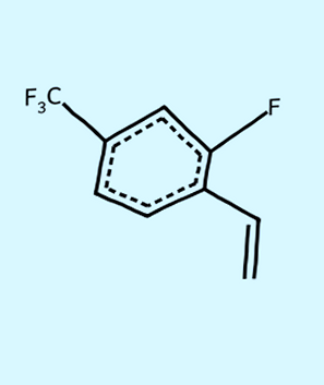 C=Cc1ccc(C(F)(F)F)cc1F